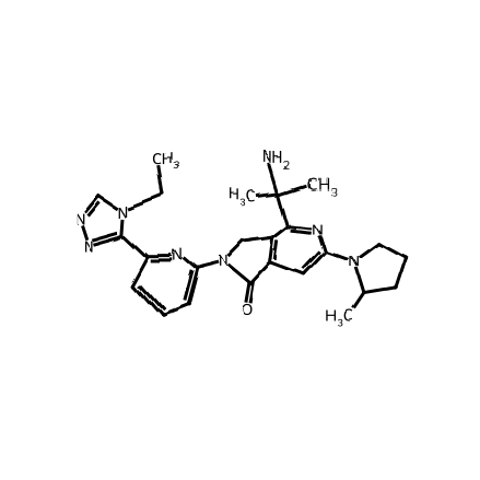 CCn1cnnc1-c1cccc(N2Cc3c(cc(N4CCCC4C)nc3C(C)(C)N)C2=O)n1